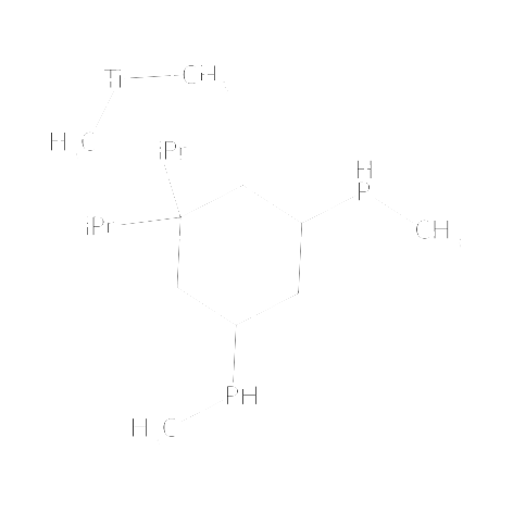 CPC1CC(PC)CC(C(C)C)(C(C)C)C1.[CH3][Ti][CH3]